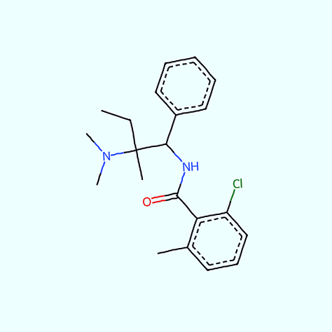 CCC(C)(C(NC(=O)c1c(C)cccc1Cl)c1ccccc1)N(C)C